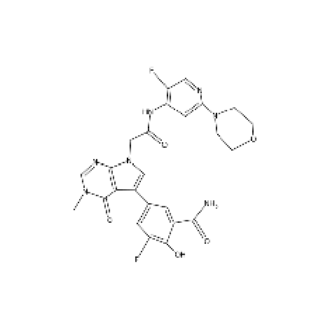 Cn1cnc2c(c(-c3cc(F)c(O)c(C(N)=O)c3)cn2CC(=O)Nc2cc(N3CCOCC3)ncc2F)c1=O